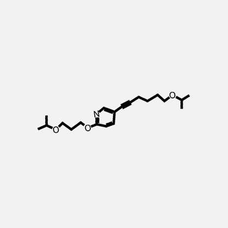 CC(C)OCCCCC#Cc1ccc(OCCCOC(C)C)nc1